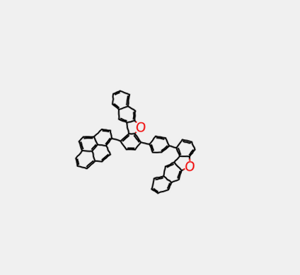 c1ccc2cc3c(cc2c1)oc1cccc(-c2ccc(-c4ccc(-c5ccc6ccc7cccc8ccc5c6c78)c5c4oc4cc6ccccc6cc45)cc2)c13